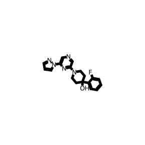 OC1(c2ccccc2F)CCN(c2cncc(-n3cccn3)n2)CC1